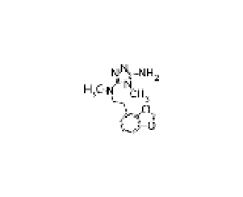 CN(CCc1cccc2c1OCO2)c1nnc(N)n1C